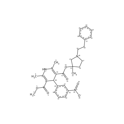 COC(=O)C1=C(C)NC(C)=C(C(=O)OC2(C)CCN(CCc3ccccc3)C2)C1c1cccc([N+](=O)[O-])c1